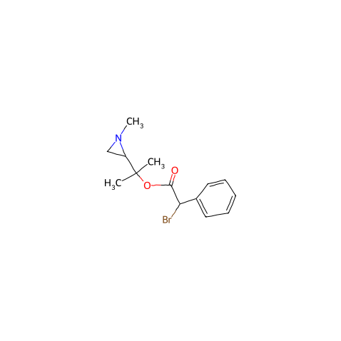 CN1CC1C(C)(C)OC(=O)C(Br)c1ccccc1